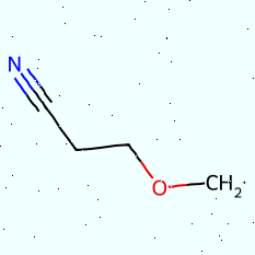 [CH2]OCCC#N